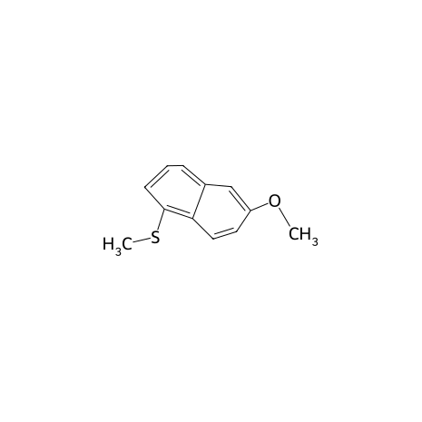 COc1ccc2c(SC)cccc2c1